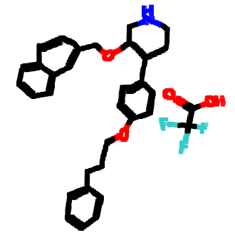 O=C(O)C(F)(F)F.c1ccc(CCCOc2ccc(C3CCNCC3OCc3ccc4ccccc4c3)cc2)cc1